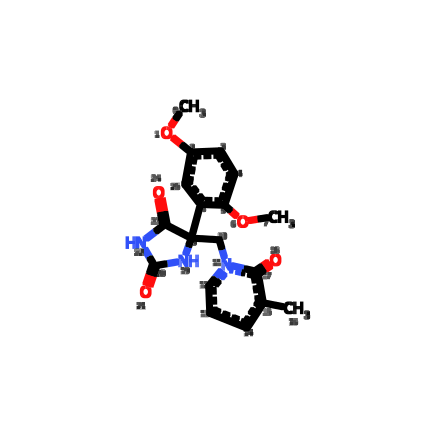 COc1ccc(OC)c(C2(Cn3cccc(C)c3=O)NC(=O)NC2=O)c1